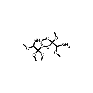 COC([SiH3])C(OC)(OC)SSC(OC)(OC)C([SiH3])OC